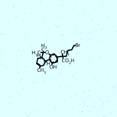 CC1=CC[C@@H]2[C@@H](C1)c1c(O)cc(C(C)(CCCCBr)C(=O)O)cc1OC2(C)C